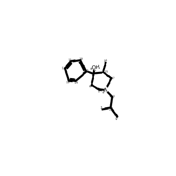 C[C](C)CN1CCC(O)(c2ccccc2)C(C)C1